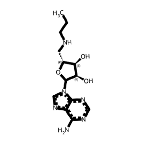 CCCNC[C@H]1OC(n2cnc3c(N)ncnc32)[C@H](O)[C@@H]1O